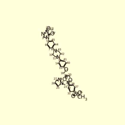 CCC(C)n1ncn(-c2ccc(N3CCN(c4ccc(OC[C@@H]5CO[C@@](Cn6cccn6)(c6ccc(S(C)(=O)=O)cc6)O5)cc4)CC3)cc2)c1=O